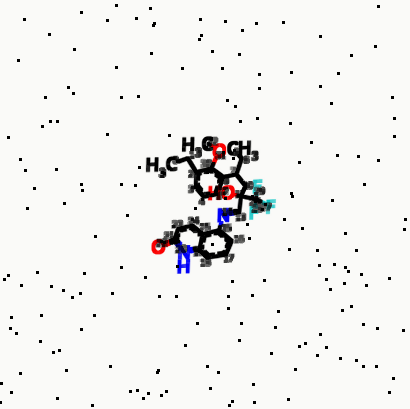 CCc1cccc(C(CC)CC(O)(/C=N/c2cccc3[nH]c(=O)ccc23)C(F)(F)F)c1OC